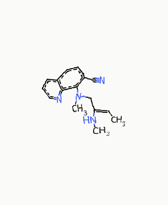 C/C=C(/CN(C)c1c(C#N)ccc2cccnc12)NC